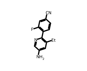 CCc1cc(N)cnc1-c1ccc(C#N)cc1F